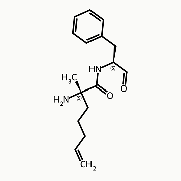 C=CCCC[C@](C)(N)C(=O)N[C@H](C=O)Cc1ccccc1